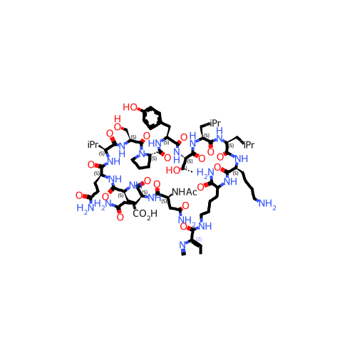 C=N/C(=C\C)C(=O)NCCCCC(NC(=O)[C@H](CCCCN)NC(=O)[C@H](CC(C)C)NC(=O)[C@H](CC(C)C)NC(=O)[C@@H](NC(=O)[C@H](Cc1ccc(O)cc1)NC(=O)[C@@H]1CCCN1C(=O)[C@H](CO)NC(=O)[C@@H](NC(=O)[C@H](CCC(N)=O)NC(=O)[C@H](CCC(=O)O)NC(=O)[C@H](CCC(N)=O)NC(=O)[C@H](CC(N)=O)NC(C)=O)C(C)C)[C@H](C)O)C(N)=O